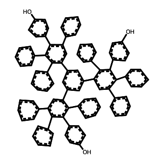 Oc1ccc(-c2c(-c3ccccc3)cc(-c3cc(-c4cc(-c5ccccc5)c(-c5ccccc5)c(-c5ccc(O)cc5)c4-c4ccccc4)cc(-c4cc(-c5ccccc5)c(-c5ccccc5)c(-c5ccc(O)cc5)c4-c4ccccc4)c3)c(-c3ccccc3)c2-c2ccccc2)cc1